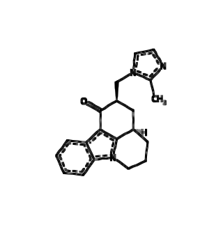 Cc1nccn1C[C@H]1C[C@H]2CCCn3c2c(c2ccccc23)C1=O